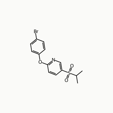 CC(C)S(=O)(=O)c1ccc(Oc2ccc(Br)cc2)nc1